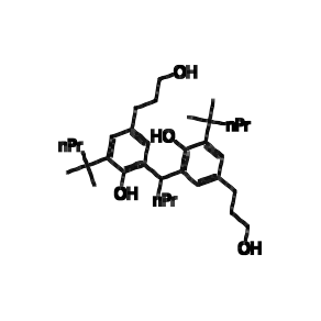 CCCC(c1cc(CCCO)cc(C(C)(C)CCC)c1O)c1cc(CCCO)cc(C(C)(C)CCC)c1O